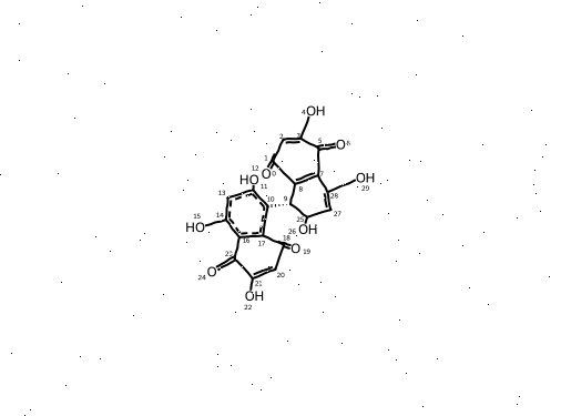 O=C1C=C(O)C(=O)C2=C1[C@@H](c1c(O)cc(O)c3c1C(=O)C=C(O)C3=O)C(O)C=C2O